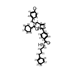 [O]c1ccc(CN(Cc2csc(-c3ccc(C(=O)NCCCCc4ccccc4)cc3)n2)C(=O)C2CCCCC2)cc1